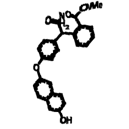 COC(=O)c1ccccc1C(C(N)=O)c1ccc(Oc2ccc3cc(O)ccc3c2)cc1